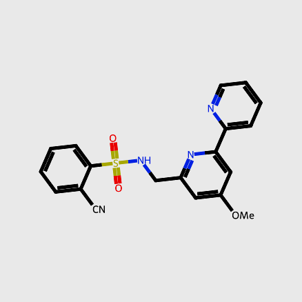 COc1cc(CNS(=O)(=O)c2ccccc2C#N)nc(-c2ccccn2)c1